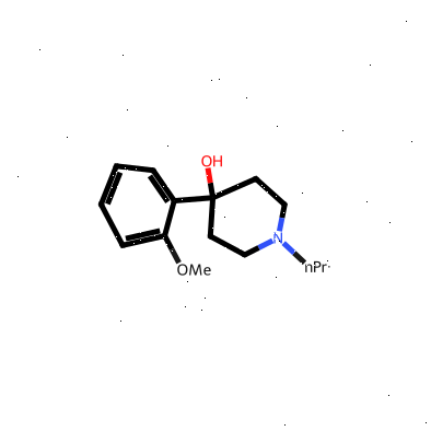 CC[CH]N1CCC(O)(c2ccccc2OC)CC1